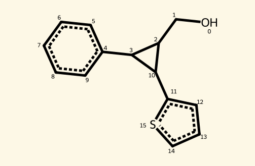 OCC1C(c2ccccc2)C1c1cccs1